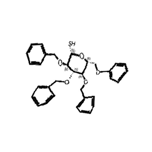 S[C@@H]1O[C@H](COc2ccccc2)[C@@H](OCc2ccccc2)[C@H](OCc2ccccc2)[C@H]1OCc1ccccc1